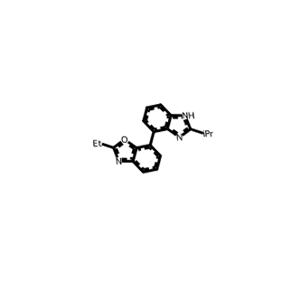 CCc1nc2cccc(-c3cccc4[nH]c(C(C)C)nc34)c2o1